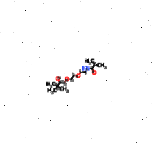 CC(C)C(=O)NCCOCCOCC(=O)C(C)(C)C